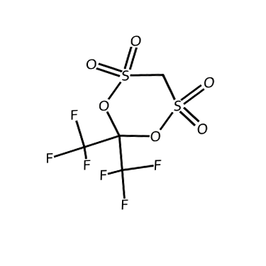 O=S1(=O)CS(=O)(=O)OC(C(F)(F)F)(C(F)(F)F)O1